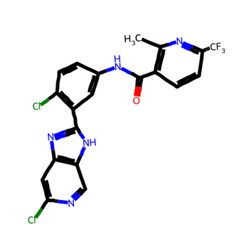 Cc1nc(C(F)(F)F)ccc1C(=O)Nc1ccc(Cl)c(-c2nc3cc(Cl)ncc3[nH]2)c1